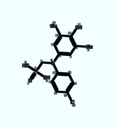 CC(C)(C)c1cc(N(CP(=O)(O)O)c2ccc(Cl)cc2)cc(C(C)(C)C)c1O